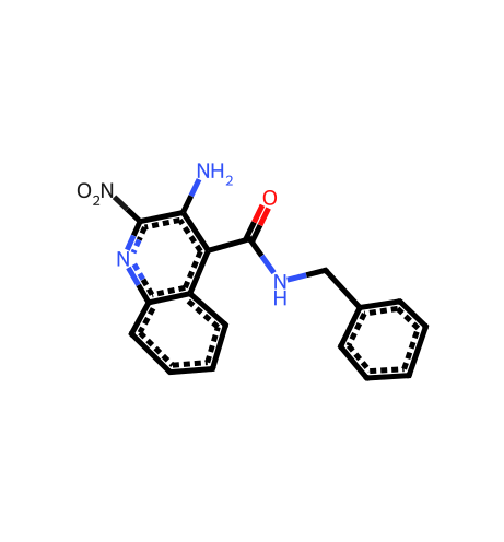 Nc1c([N+](=O)[O-])nc2ccccc2c1C(=O)NCc1ccccc1